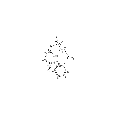 CCNCC(C)(O)Cc1ccc2sc3ccccc3c2c1